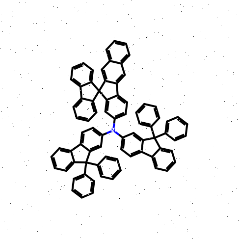 c1ccc(C2(c3ccccc3)c3ccccc3-c3ccc(N(c4ccc5c(c4)C(c4ccccc4)(c4ccccc4)c4ccccc4-5)c4ccc5c(c4)C4(c6ccccc6-c6ccccc64)c4cc6ccccc6cc4-5)cc32)cc1